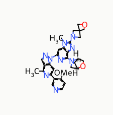 COc1ccncc1-c1cc2c(cnn2-c2cc3c(nc(N4CC5(COC5)C4)n3C)c(N3C[C@H]4C[C@@H]3CO4)n2)c(C)n1